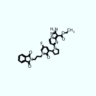 CCOC(=O)c1c(N)nn2ccc(N3CCCC3c3cc(F)cn(CCCN4C(=O)c5ccccc5C4=O)c3=O)nc12